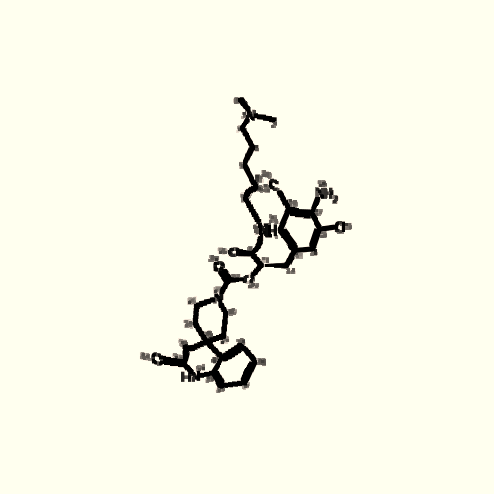 CN(C)CCCCCNC(=O)[C@@H](Cc1cc(Cl)c(N)c(C(F)(F)F)c1)OC(=O)N1CCC2(CC1)CC(=O)Nc1ccccc12